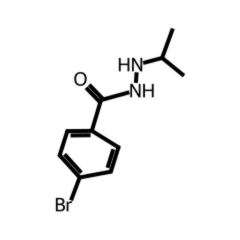 CC(C)NNC(=O)c1ccc(Br)cc1